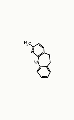 Cc1ccc2c(n1)Nc1ccccc1CC2